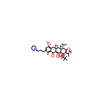 COc1cc(CCCN2CCCC2)c(C)c2c1C[C@H]1C[C@H]3[C@H](C(C)C)c4onc(C)c4C(=O)[C@@]3(O[Si](C)(C)C(C)(C)C)C(O)=C1C2=O